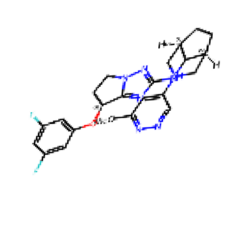 COc1cc(N2C[C@H]3CC[C@@H](C2)C3Nc2nc3n(n2)CC[C@@H]3Oc2cc(F)cc(F)c2)cnn1